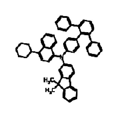 CC1(C)c2ccccc2-c2ccc(N(c3ccc(-c4c(-c5ccccc5)cccc4-c4ccccc4)cc3)c3ccc(C4CCCCC4)c4ccccc34)cc21